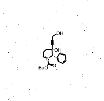 CC(C)COC(=O)N1CCC[C@@](O)(C#CCO)[C@@H]1c1ccccc1